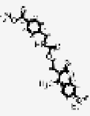 CCN(CC)c1ccc2c(C)c(CCOC(=O)NCc3ccc(C(=O)ON)cc3)c(=O)oc2c1